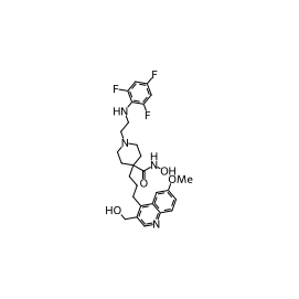 COc1ccc2ncc(CO)c(CCCC3(C(=O)NO)CCN(CCNc4c(F)cc(F)cc4F)CC3)c2c1